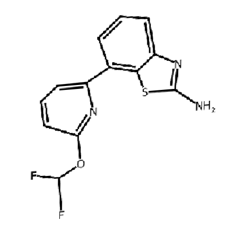 Nc1nc2cccc(-c3cccc(OC(F)F)n3)c2s1